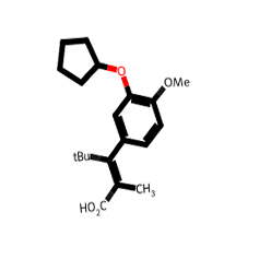 COc1ccc(C(=C(C)C(=O)O)C(C)(C)C)cc1OC1CCCC1